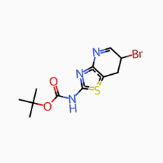 CC(C)(C)OC(=O)Nc1nc2c(s1)CC(Br)C=N2